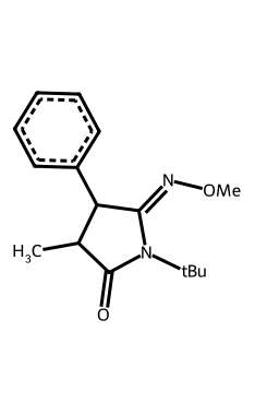 CON=C1C(c2ccccc2)C(C)C(=O)N1C(C)(C)C